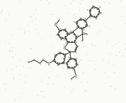 CCCCOc1ccc(C2(c3ccc(OC)cc3)C=Cc3c4c(c5cc(OC)ccc5c3O2)-c2ccc(-c3ccccc3)cc2C4(C)C)cc1